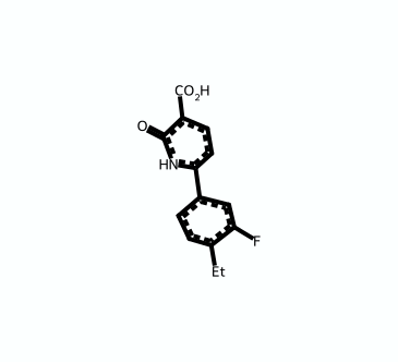 CCc1ccc(-c2ccc(C(=O)O)c(=O)[nH]2)cc1F